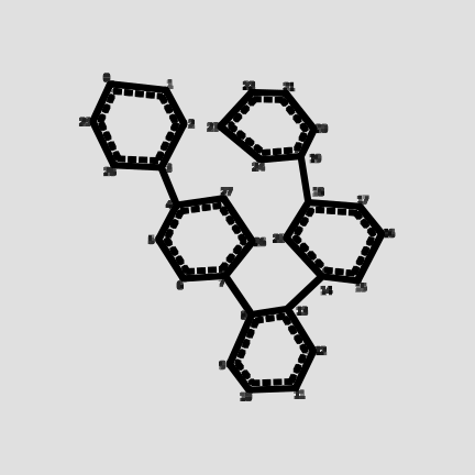 c1ccc(-c2ccc(-c3ccccc3-c3cccc(-c4ccccc4)c3)cc2)cc1